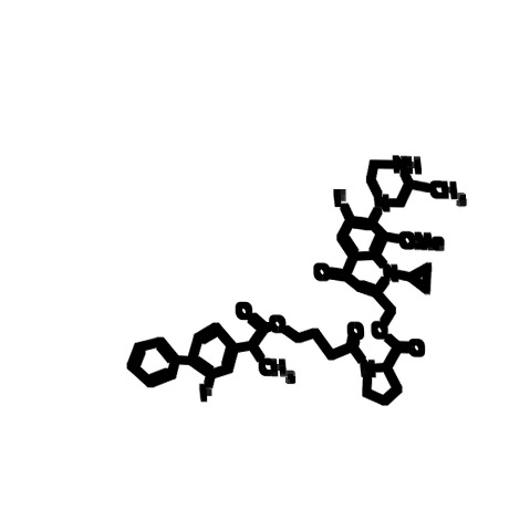 COc1c(N2CCNC(C)C2)c(F)cc2c(=O)cc(COC(=O)C3CCCN3C(=O)CCCOC(=O)C(C)c3ccc(-c4ccccc4)c(F)c3)n(C3CC3)c12